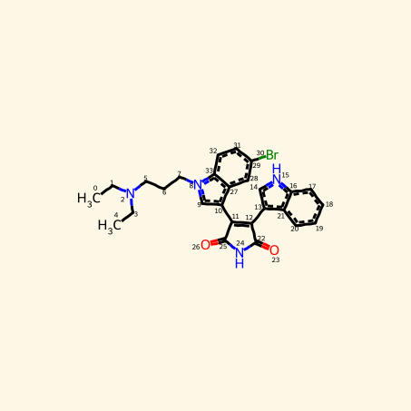 CCN(CC)CCCn1cc(C2=C(c3c[nH]c4ccccc34)C(=O)NC2=O)c2cc(Br)ccc21